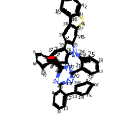 c1ccc(-c2nc(-c3ccccc3-c3ccccc3)nc(-c3ccccc3-n3c4ccccc4c4cc5c(cc43)sc3ccccc35)n2)cc1